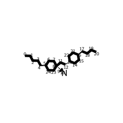 CCCCC[C@H]1CC[C@@](C#N)(CC[C@H]2CC[C@H](CCCC)CC2)CC1